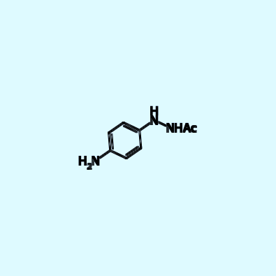 CC(=O)NNc1ccc(N)cc1